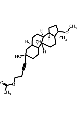 COC1CC[C@H]2[C@@H]3CC[C@@H]4C[C@@](O)(C#CCCOC(C)=O)CC[C@]4(C)[C@H]3CC[C@]12C